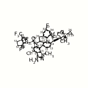 Cn1nc(N)c2c(Cl)ccc(-c3ccc(C#CC(C)(C)S(=O)(=O)C4CC4)nc3C(Cc3cc(F)cc(F)c3)NC(=O)Cn3nc(C(F)(F)F)c4c3C(F)(F)CC4)c21